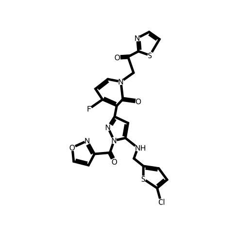 O=C(Cn1ccc(F)c(-c2cc(NCc3ccc(Cl)s3)n(C(=O)c3ccon3)n2)c1=O)c1nccs1